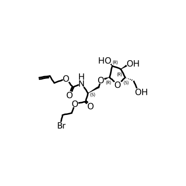 C=CCOC(=O)N[C@@H](CO[C@@H]1O[C@@H](CO)[C@H](O)[C@H]1O)C(=O)OCCBr